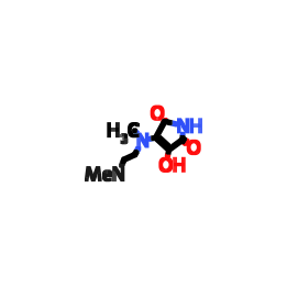 CNCCN(C)C1=C(O)C(=O)NC1=O